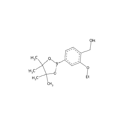 CCOc1cc(B2OC(C)(C)C(C)(C)O2)ccc1CO